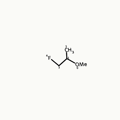 COC(C)CF